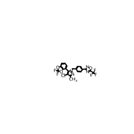 Cc1nn(Cc2ccc(-c3noc(C(F)(F)F)n3)cc2)c(-c2cccc3c2OC(F)(F)O3)c1Cl